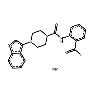 O=C([O-])c1ccccc1NC(=O)N1CCN(c2csc3ccccc23)CC1.[Na+]